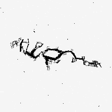 CC(C)NC(=O)CN1CCC(CCCOC(C)C)CC1C